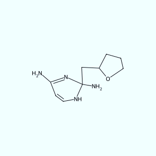 NC1=NC(N)(CC2CCCO2)NC=C1